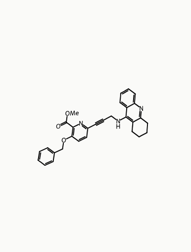 COC(=O)c1nc(C#CCNc2c3c(nc4ccccc24)CCCC3)ccc1OCc1ccccc1